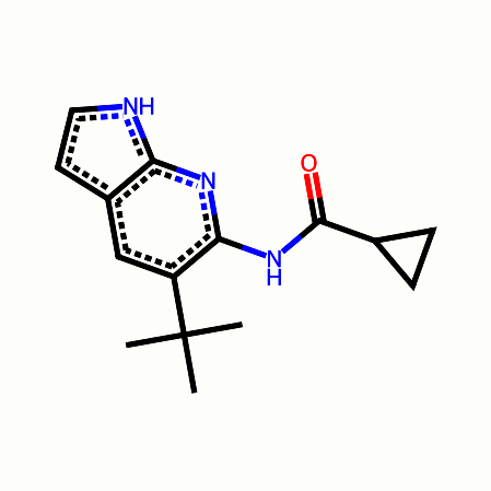 CC(C)(C)c1cc2cc[nH]c2nc1NC(=O)C1CC1